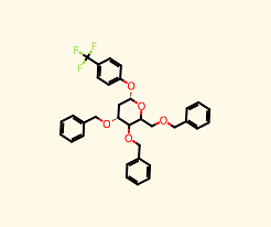 FC(F)(F)c1ccc(O[C@H]2C[C@@H](OCc3ccccc3)C(OCc3ccccc3)C(COCc3ccccc3)O2)cc1